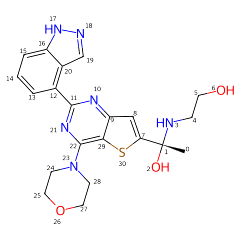 C[C@](O)(NCCO)c1cc2nc(-c3cccc4[nH]ncc34)nc(N3CCOCC3)c2s1